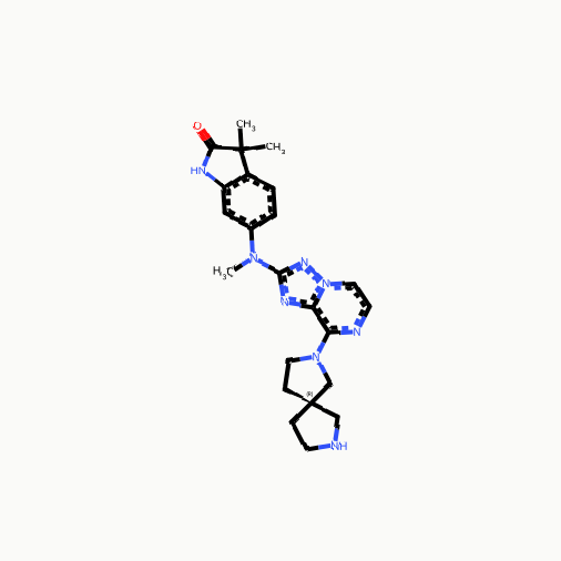 CN(c1ccc2c(c1)NC(=O)C2(C)C)c1nc2c(N3CC[C@@]4(CCNC4)C3)nccn2n1